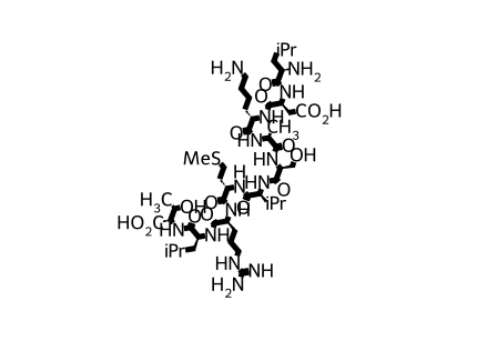 CSCC[C@H](NC(=O)[C@@H](NC(=O)[C@H](CO)NC(=O)[C@H](C)NC(=O)[C@H](CCCCN)NC(=O)[C@H](CC(=O)O)NC(=O)[C@@H](N)CC(C)C)C(C)C)C(=O)N[C@@H](CCCNC(=N)N)C(=O)N[C@@H](CC(C)C)C(=O)N[C@H](C(=O)O)[C@@H](C)O